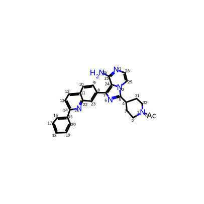 CC(=O)N1CCC(c2nc(-c3ccc4ccc(-c5ccccc5)nc4c3)c3c(N)nccn23)CC1